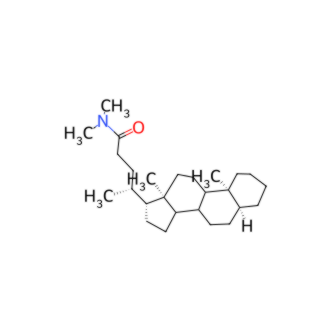 C[C@H](CCC(=O)N(C)C)[C@H]1CCC2C3CC[C@@H]4CCCC[C@]4(C)C3CC[C@@]21C